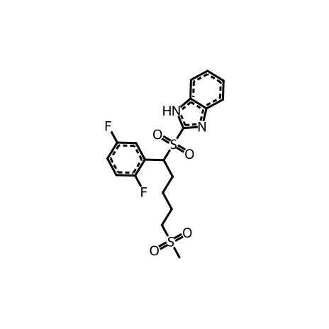 CS(=O)(=O)CCCCC(c1cc(F)ccc1F)S(=O)(=O)c1nc2ccccc2[nH]1